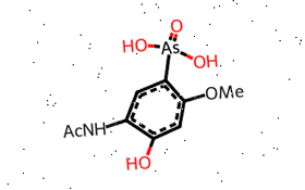 COc1cc(O)c(NC(C)=O)cc1[As](=O)(O)O